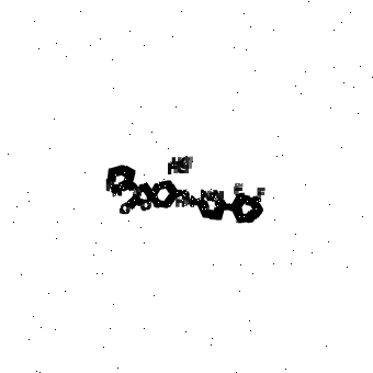 Cl.Cl.O=C1OC2(CCC(CNc3ccc(-c4cccc(F)c4F)nn3)CC2)CN1c1cccnn1